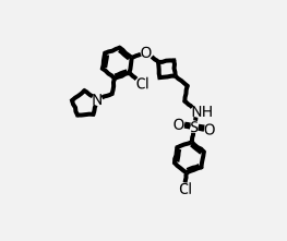 O=S(=O)(NCCC1CC(Oc2cccc(CN3CCCC3)c2Cl)C1)c1ccc(Cl)cc1